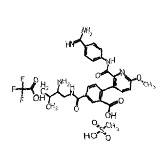 COc1ccc(-c2ccc(C(=O)NCC(N)C(C)C)cc2C(=O)O)c(C(=O)Nc2ccc(C(=N)N)cc2)n1.CS(=O)(=O)O.O=C(O)C(F)(F)F